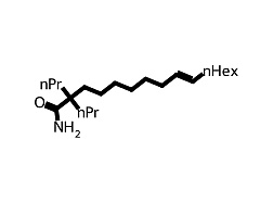 CCCCCCC=CCCCCCCC(CCC)(CCC)C(N)=O